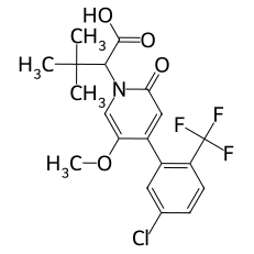 COc1cn(C(C(=O)O)C(C)(C)C)c(=O)cc1-c1cc(Cl)ccc1C(F)(F)F